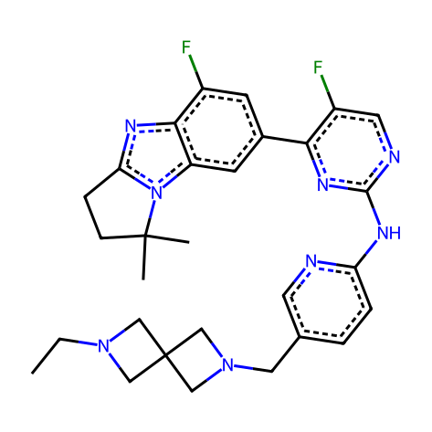 CCN1CC2(C1)CN(Cc1ccc(Nc3ncc(F)c(-c4cc(F)c5nc6n(c5c4)C(C)(C)CC6)n3)nc1)C2